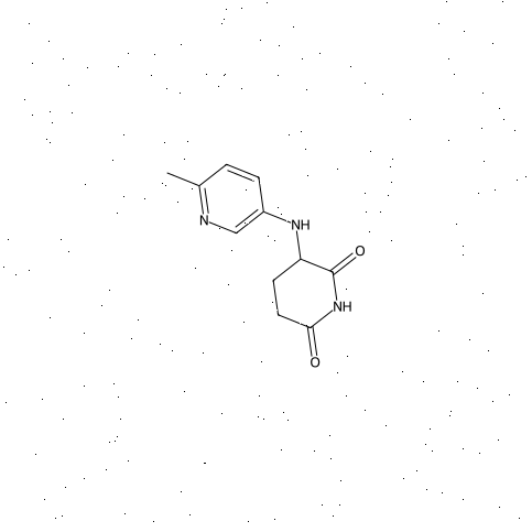 Cc1ccc(NC2CCC(=O)NC2=O)cn1